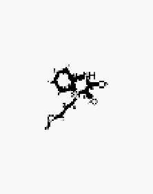 COCCCn1c(=O)c(=O)[nH]c2ccccc21